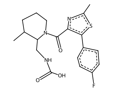 Cc1nc(C(=O)N2CCCC(C)C2CNC(=O)O)c(-c2ccc(F)cc2)s1